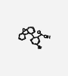 O=C(O)c1cc(Br)ccc1-c1cccc2oc3ccccc3c12